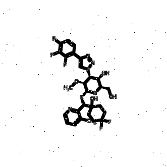 CO[C@@H]1[C@@H](n2cc(-c3ccc(F)c(F)c3F)nn2)[C@@H](O)[C@@H](CO)O[C@H]1SC(c1ncccc1C)C1(O)CCC(F)(F)CC1